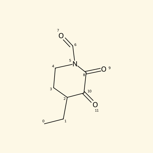 CCC1CCN(C=O)C(=O)C1=O